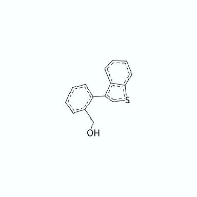 OCc1ccccc1-c1csc2ccccc12